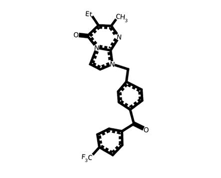 CCc1c(C)nc2n(Cc3ccc(C(=O)c4ccc(C(F)(F)F)cc4)cc3)ccn2c1=O